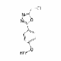 [CH2]CCOc1ccc(-c2nnc(CCl)o2)cc1